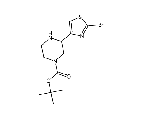 CC(C)(C)OC(=O)N1CCNC(c2csc(Br)n2)C1